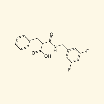 O=C(O)C(Cc1ccccc1)C(=O)NCc1cc(F)cc(F)c1